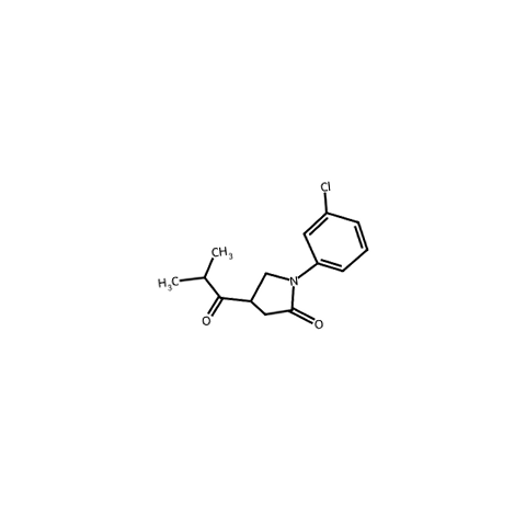 CC(C)C(=O)C1CC(=O)N(c2cccc(Cl)c2)C1